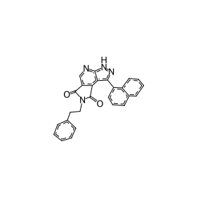 O=C1c2cnc3[nH]nc(-c4cccc5ccccc45)c3c2C(=O)N1CCc1ccccc1